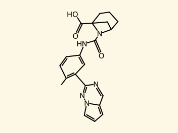 Cc1ccc(NC(=O)N2C3CCCC2(C(=O)O)C3)cc1-c1ncc2cccn2n1